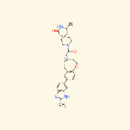 CCC1CC2(CCN(C(=O)C/C3=C/Cc4cc(-c5ccc6nc(C)[nH]c6c5)ccc4OCC3)CC2)CC(=O)N1